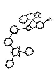 N#Cc1ccc2c(c1)C1(c3ccccc3Sc3ccccc31)c1cc(-c3cccc(-c4cccc(-c5nc(-c6ccccc6)nc(-c6ccccc6)n5)c4)c3)ccc1-2